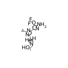 CC(O)CN1C[C@@H]2C(c3cc(-c4cnc(N)c(OC(F)F)c4)nc(C4CC4)n3)[C@@H]2C1